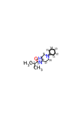 CC(C)C(=O)NC1CCN(c2ccccc2)CC1